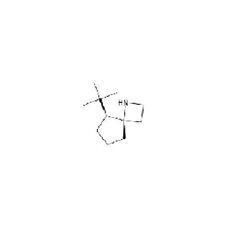 CC(C)(C)[C@@H]1CCC[C@@]12CCN2